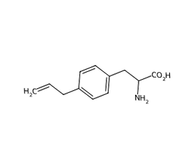 C=CCc1ccc(CC(N)C(=O)O)cc1